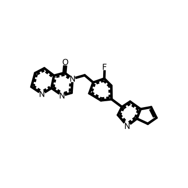 O=c1c2cccnc2ncn1Cc1ccc(-c2cnc3c(c2)C=CC3)cc1F